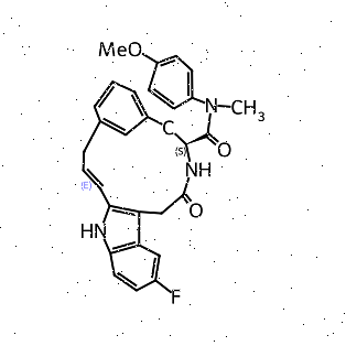 COc1ccc(N(C)C(=O)[C@@H]2Cc3cccc(c3)C/C=C/c3[nH]c4ccc(F)cc4c3CC(=O)N2)cc1